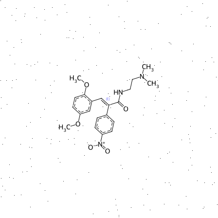 COc1ccc(OC)c(/C=C(/C(=O)NCCN(C)C)c2ccc([N+](=O)[O-])cc2)c1